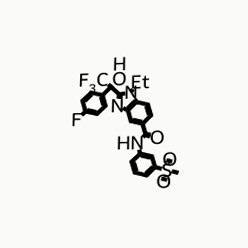 CCn1c(C(O)(c2ccc(F)cc2)C(F)(F)F)nc2cc(C(=O)Nc3cccc(S(C)(=O)=O)c3)ccc21